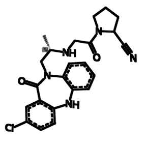 C[C@@H](CN1C(=O)c2cc(Cl)ccc2Nc2ccccc21)NCC(=O)N1CCCC1C#N